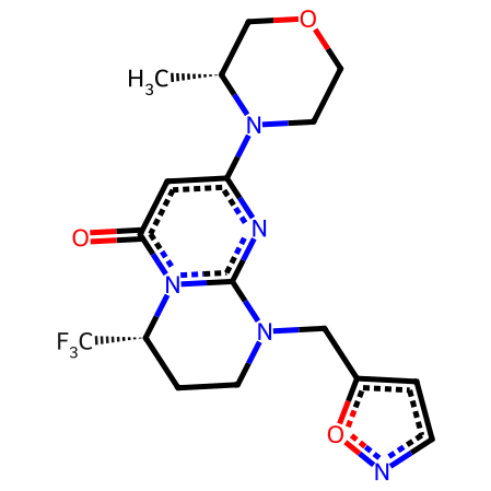 C[C@@H]1COCCN1c1cc(=O)n2c(n1)N(Cc1ccno1)CC[C@@H]2C(F)(F)F